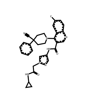 N#CC1(c2ccccc2)CCN(c2c(C(=O)Nc3cnn(CC(=O)NC4CC4)c3)cnc3ccc(F)cc23)CC1